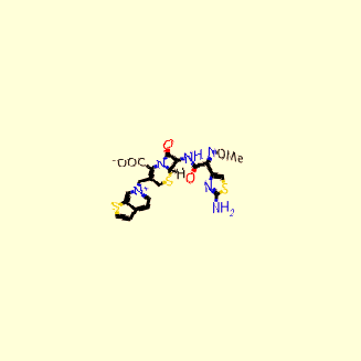 CON=C(C(=O)NC1C(=O)N2C(C(=O)[O-])=C(C[n+]3ccc4ccsc4c3)CS[C@@H]12)c1csc(N)n1